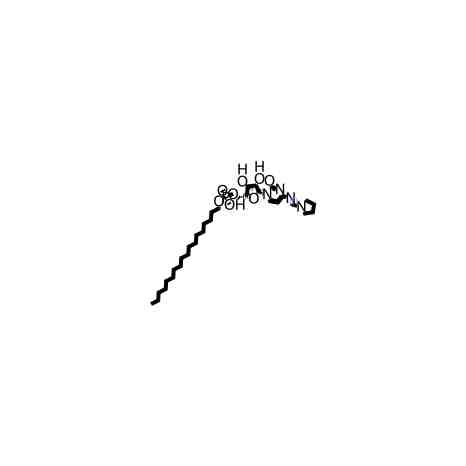 CCCCCCCCCCCCCCCCCCOP(=O)(O)OC[C@H]1O[C@@H](n2ccc(/N=C/N3CCCC3)nc2=O)C(O)[C@H]1O